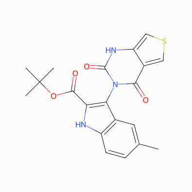 Cc1ccc2[nH]c(C(=O)OC(C)(C)C)c(-n3c(=O)[nH]c4cscc4c3=O)c2c1